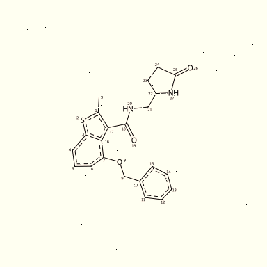 Cc1sc2cccc(OCc3ccccc3)c2c1C(=O)NCC1CCC(=O)N1